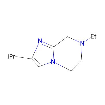 CCN1CCn2cc(C(C)C)nc2C1